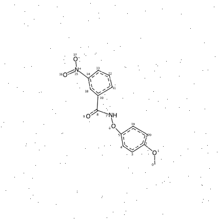 COc1ccc(ONC(=O)c2cccc([N+](=O)[O-])c2)cc1